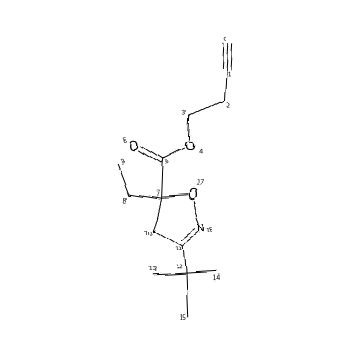 C#CCCOC(=O)C1(CC)CC(C(C)(C)C)=NO1